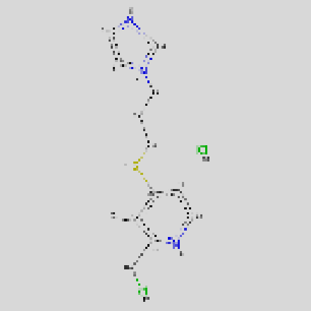 Cc1c(SCCCn2ccnc2)ccnc1CCl.Cl